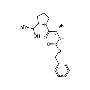 CCCC(O)C1CCCN1C(=O)[C@@H](NC(=O)OCc1ccccc1)C(C)C